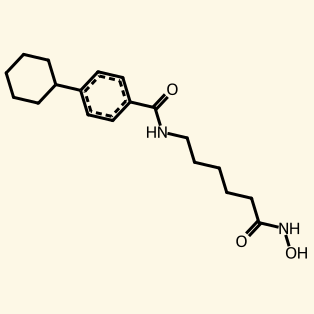 O=C(CCCCCNC(=O)c1ccc(C2CCCCC2)cc1)NO